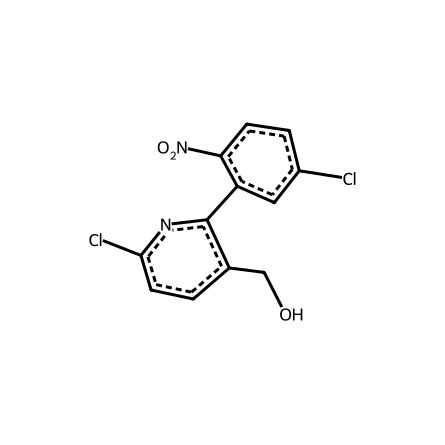 O=[N+]([O-])c1ccc(Cl)cc1-c1nc(Cl)ccc1CO